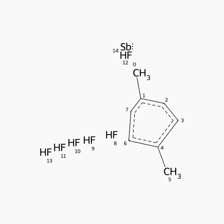 Cc1ccc(C)cc1.F.F.F.F.F.F.[Sb]